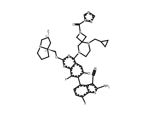 N#Cc1c(N)sc2c(F)ccc(-c3c(Cl)cc4c(N5CCN(CC6CC6)C6(CN(C(=O)n7cncn7)C6)C5)nc(OC[C@@]56CCCN5C[C@H](F)C6)nc4c3F)c12